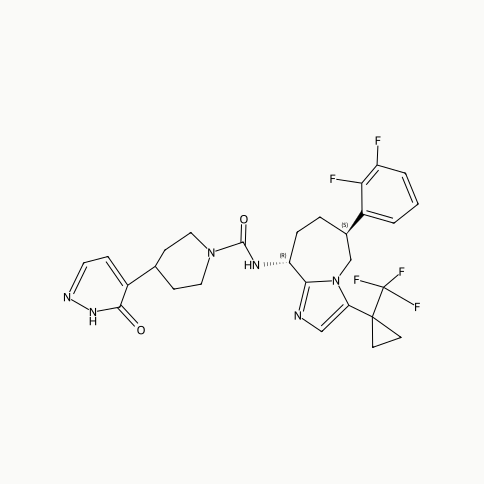 O=C(N[C@@H]1CC[C@@H](c2cccc(F)c2F)Cn2c(C3(C(F)(F)F)CC3)cnc21)N1CCC(c2ccn[nH]c2=O)CC1